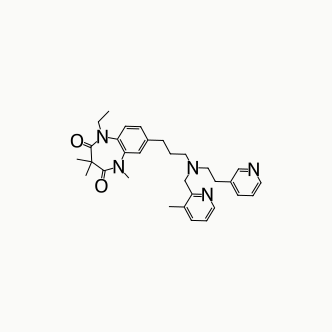 CCN1C(=O)C(C)(C)C(=O)N(C)c2cc(CCCN(CCc3cccnc3)Cc3ncccc3C)ccc21